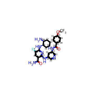 NC(=O)c1cc(F)c(N[C@@H]2CCCC[C@@H]2N)nc1Nc1cncc(NC(=O)c2ccc(OC(F)(F)F)cc2)c1